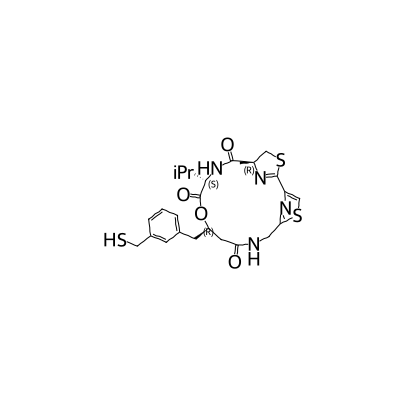 CC(C)[C@@H]1NC(=O)[C@]2(C)CSC(=N2)c2csc(n2)CNC(=O)C[C@@H](Cc2cccc(CS)c2)OC1=O